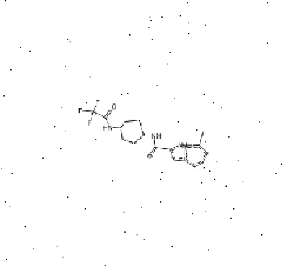 Cc1cccc2cc(C(=O)N[C@H]3CC[C@H](NC(=O)C(F)(F)F)CC3)[nH]c12